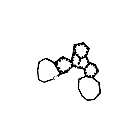 c1cc2c3cc4c(cc3n3c5c6c(ccc5c(c1)c23)CCCCCCC6)CCCCCC4